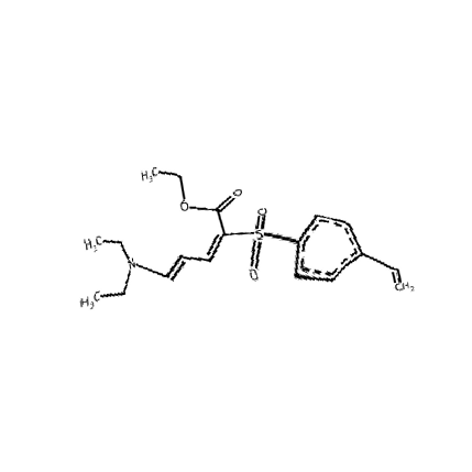 C=Cc1ccc(S(=O)(=O)C(=CC=CN(CC)CC)C(=O)OCC)cc1